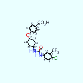 O=C(Nc1ccc(Cl)c(C(F)(F)F)c1)NC1CCC(Oc2ccc(C(=O)O)cc2)CC1